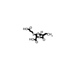 CC=C1C(=O)N2C(C(=O)O)=C(SCCC(=O)O)S[C@@H]12